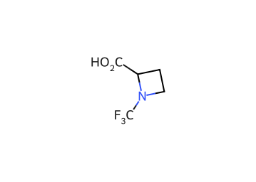 O=C(O)C1CCN1C(F)(F)F